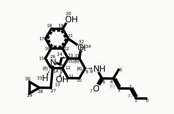 C/C=C/C=C(\C)C(=O)N[C@@H]1CC[C@@]2(O)[C@H]3Cc4ccc(O)c5c4[C@@]2(CCN3CC2CC2)[C@H]1O5